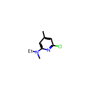 CCN(C)c1cc(C)cc(Cl)n1